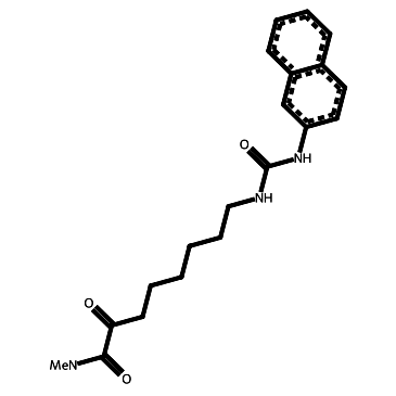 CNC(=O)C(=O)CCCCCCNC(=O)Nc1ccc2ccccc2c1